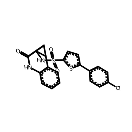 O=C1Nc2ccccc2C2CC12NS(=O)(=O)c1ccc(-c2ccc(Cl)cc2)s1